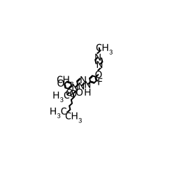 CCCN1CCN(CCOc2ccc(Nc3nccc(N(C(=O)OCCCCCC(C)C)c4ccc(OC)cc4OC)n3)cc2F)CC1